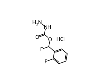 Cl.NNC(=O)OC(F)c1ccccc1F